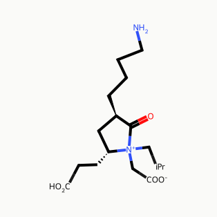 CC(C)C[N+]1(CC(=O)[O-])C(=O)[C@H](CCCCN)C[C@H]1CCC(=O)O